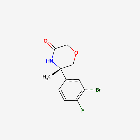 C[C@]1(c2ccc(F)c(Br)c2)COCC(=O)N1